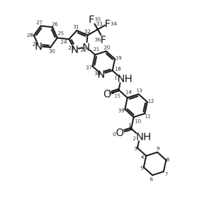 O=C(NCC1CCCCC1)c1cccc(C(=O)Nc2ccc(-n3nc(-c4cccnc4)cc3C(F)(F)F)cn2)c1